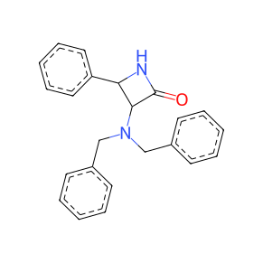 O=C1NC(c2ccccc2)C1N(Cc1ccccc1)Cc1ccccc1